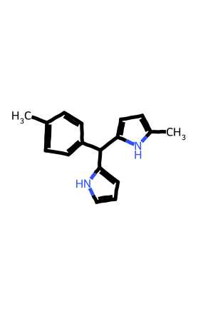 Cc1ccc(C(c2ccc[nH]2)c2ccc(C)[nH]2)cc1